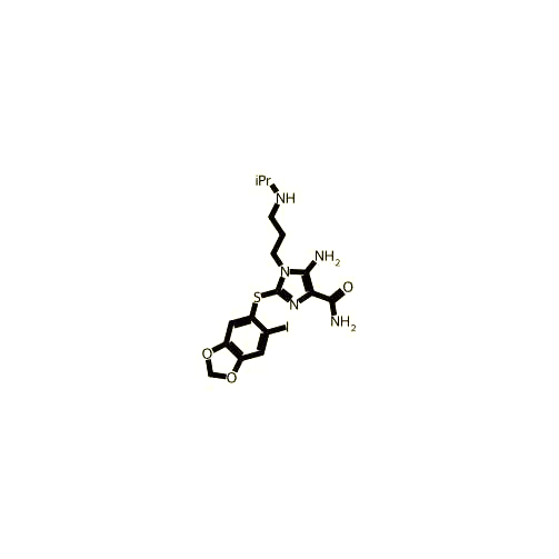 CC(C)NCCCn1c(Sc2cc3c(cc2I)OCO3)nc(C(N)=O)c1N